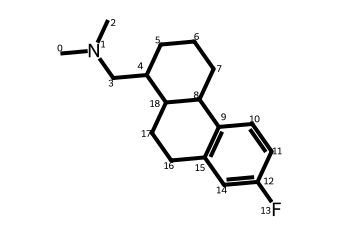 CN(C)CC1CCCC2c3ccc(F)cc3CCC12